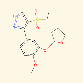 CCS(=O)(=O)c1c[nH]nc1-c1ccc(OC)c(OC2CCCO2)c1